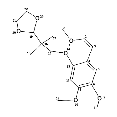 CO/C=C\c1cc(OC)c(OC)cc1OCC(C)(C)C1OCCO1